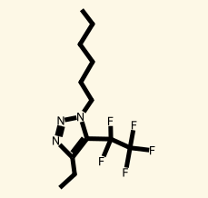 CCCCCCn1nnc(CC)c1C(F)(F)C(F)(F)F